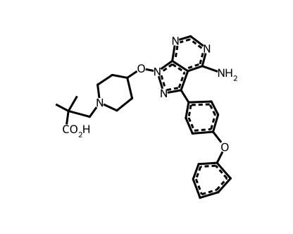 CC(C)(CN1CCC(On2nc(-c3ccc(Oc4ccccc4)cc3)c3c(N)ncnc32)CC1)C(=O)O